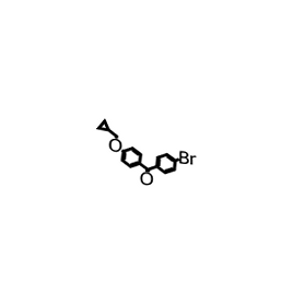 O=C(c1ccc(Br)cc1)c1ccc(OCC2CC2)cc1